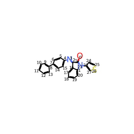 O=C1/C(=N/c2ccc(-c3ccccc3)cc2)c2ccccc2N1c1ccsc1